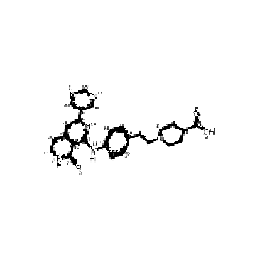 O=C(O)C1CCN(CCc2ccc(Nc3nc(-c4cncnc4)cc4cc[nH]c(=O)c34)cc2)CC1